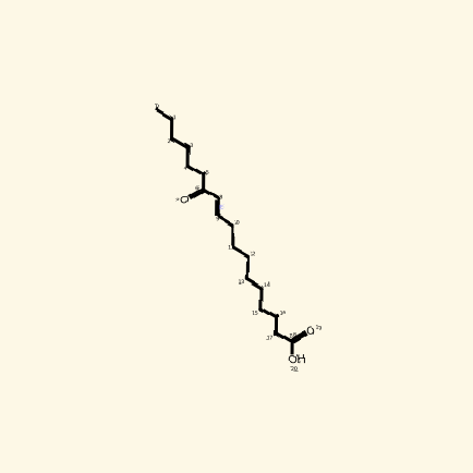 CCCCCCC(=O)/C=C/CCCCCCCCC(=O)O